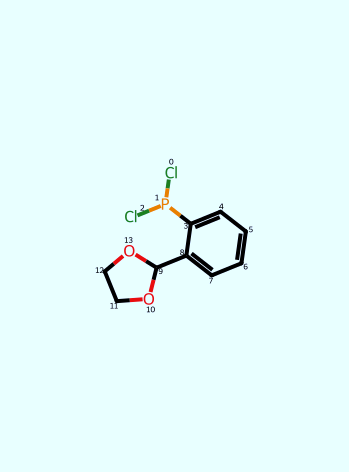 ClP(Cl)c1ccccc1C1OCCO1